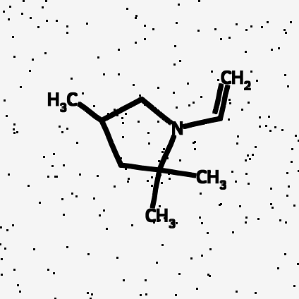 C=CN1CC(C)CC1(C)C